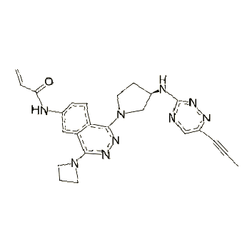 C=CC(=O)Nc1ccc2c(N3CC[C@@H](Nc4ncc(C#CC)nn4)C3)nnc(N3CCC3)c2c1